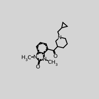 Cn1c(=O)n(C)c2c(C(=O)C3CCCN(CC4CC4)C3)cccc21